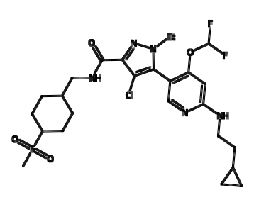 CCn1nc(C(=O)NCC2CCC(S(C)(=O)=O)CC2)c(Cl)c1-c1cnc(NCCC2CC2)cc1OC(F)F